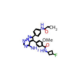 C=CC(=O)Nc1ccc(-c2nn3ncnc(N)c3c2-c2ccc(C(=O)NC3CC(F)C3)c(OC)c2)cc1